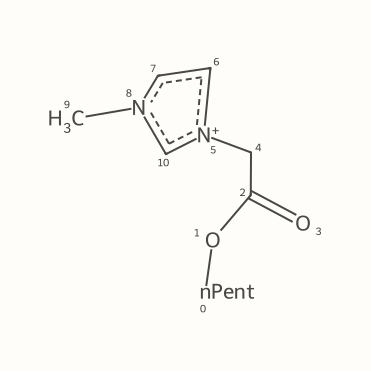 CCCCCOC(=O)C[n+]1ccn(C)c1